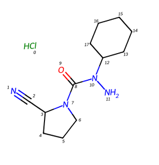 Cl.N#CC1CCCN1C(=O)N(N)C1CCCCC1